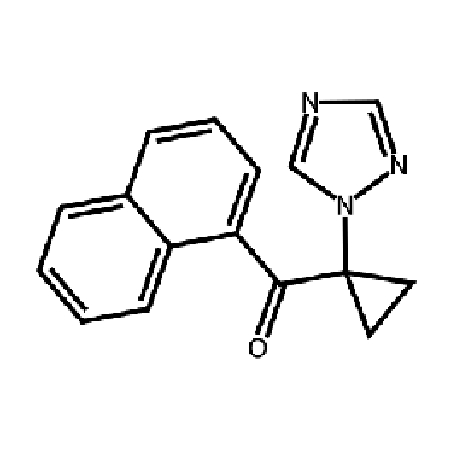 O=C(c1cccc2ccccc12)C1(n2cncn2)CC1